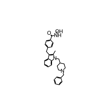 Cc1c(Cc2ccc(C(=O)NO)cc2)c2ccccc2n1CC1CCN(Cc2ccccc2)CC1